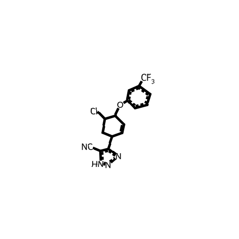 N#Cc1[nH]nnc1C1C=CC(Oc2cccc(C(F)(F)F)c2)C(Cl)C1